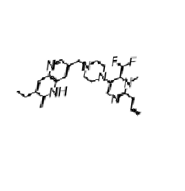 C=CCC1=NC=C(N2CCN(Cc3cnc4c(c3)NC(=C)C(CC)=C4)CC2)C(C(F)F)N1C